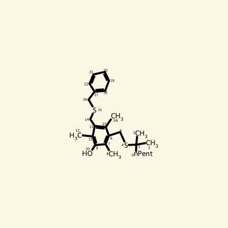 CCCCCC(C)(C)SCc1c(C)c(O)c(C)c(CSCc2ccccc2)c1C